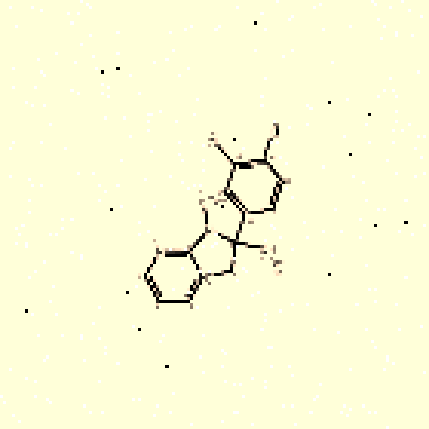 CCCCCCCCN1c2nccc[n+]2CC1(O)c1ccc(Cl)c(Cl)c1.[Br-]